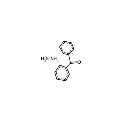 N.N.O=C(c1ccccc1)c1ccccc1